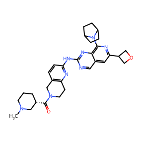 CN1CCC[C@H](C(=O)N2CCc3nc(Nc4ncc5cc(C6COC6)nc(N6C7CCC6CC7)c5n4)ccc3C2)C1